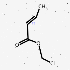 C/C=C/C(=O)OCCl